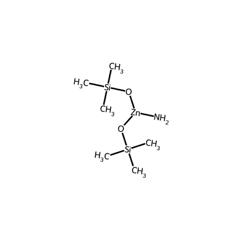 C[Si](C)(C)[O][Zn]([NH2])[O][Si](C)(C)C